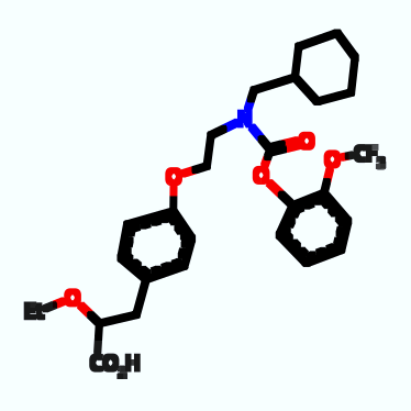 CCOC(Cc1ccc(OCCN(CC2CCCCC2)C(=O)Oc2ccccc2OC(F)(F)F)cc1)C(=O)O